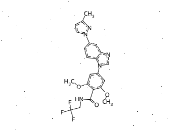 COc1cc(-n2cnc3cc(-n4ccc(C)n4)ccc32)cc(OC)c1C(=O)NCC(F)(F)F